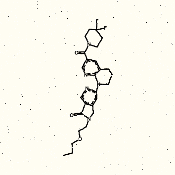 CCCOCCN1Cc2cc(N3CCCc4cc(C(=O)N5CCC(F)(F)CC5)cnc43)ncc2C1=O